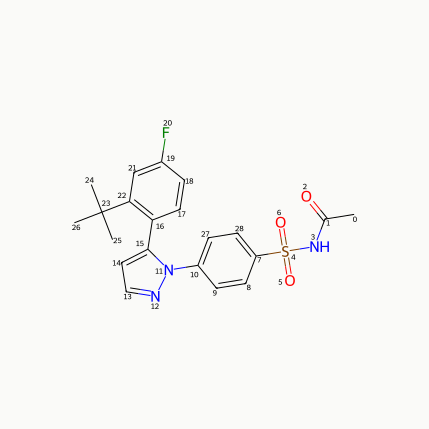 CC(=O)NS(=O)(=O)c1ccc(-n2nccc2-c2ccc(F)cc2C(C)(C)C)cc1